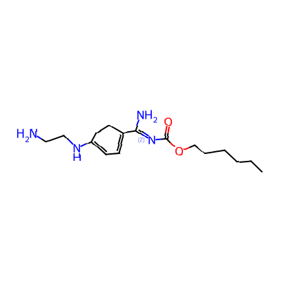 CCCCCCOC(=O)/N=C(\N)C1=CC=C(NCCN)CC1